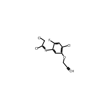 C#CCOc1cc(/N=C(/Cl)CCl)c(F)cc1Cl